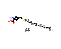 BBBBBBBBBBBBSCC1CC(N)(C(=O)O)C1.[NaH].[NaH].[NaH]